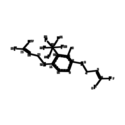 Cc1c(SCC=C(F)F)ccc(SCC=C(F)F)c1S(F)(F)(F)(F)F